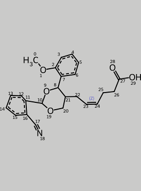 COc1ccccc1C1OC(c2ccccc2C#N)OCC1C/C=C\CCC(=O)O